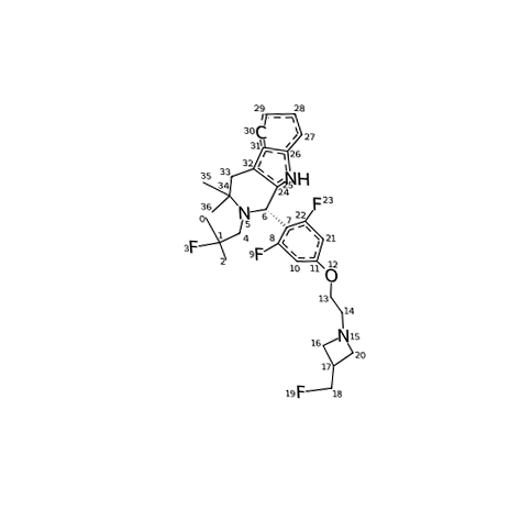 CC(C)(F)CN1[C@@H](c2c(F)cc(OCCN3CC(CF)C3)cc2F)c2[nH]c3ccccc3c2CC1(C)C